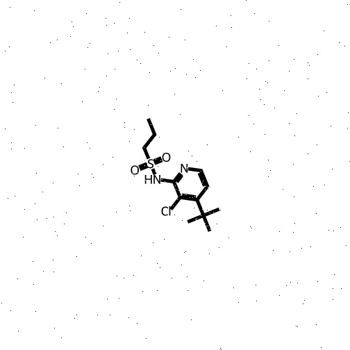 CCCS(=O)(=O)Nc1nccc(C(C)(C)C)c1Cl